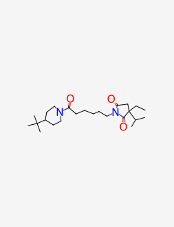 CCC1(C(C)C)CC(=O)N(CCCCCC(=O)N2CCC(C(C)(C)C)CC2)C1=O